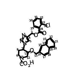 O=C(OCc1cn(C2CCN(C(=O)O)CC2OCc2ccc3ccccc3c2)nn1)c1ccccc1Cl